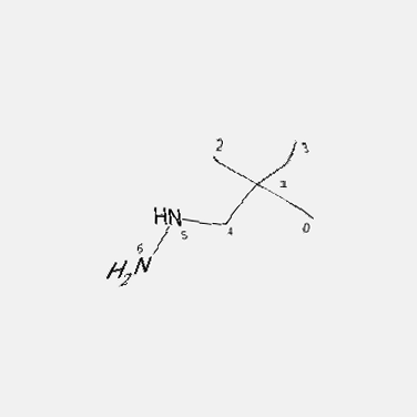 CC(C)(C)CNN